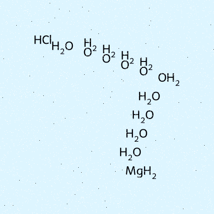 Cl.O.O.O.O.O.O.O.O.O.O.[MgH2]